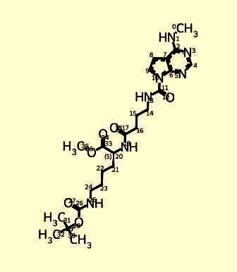 CNc1ncnc2c1ccn2C(=O)NCCCC(=O)N[C@@H](CCCCNC(=O)OC(C)(C)C)C(=O)OC